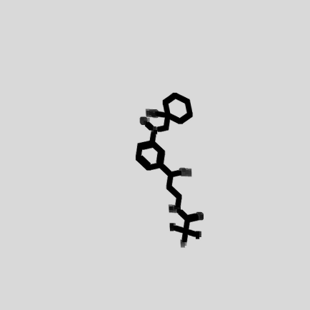 O=C(NCCC(O)c1cccc([S+]([O-])CC2(O)CCCCC2)c1)C(F)(F)F